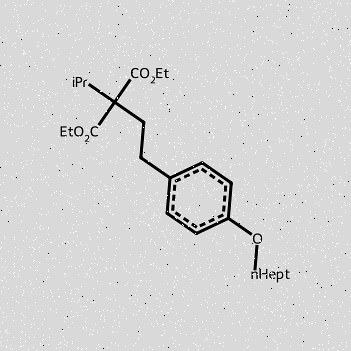 CCCCCCCOc1ccc(CCC(C(=O)OCC)(C(=O)OCC)C(C)C)cc1